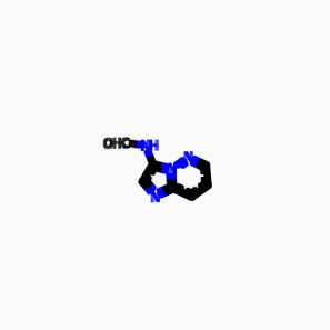 O=CNc1cnc2cccnn12